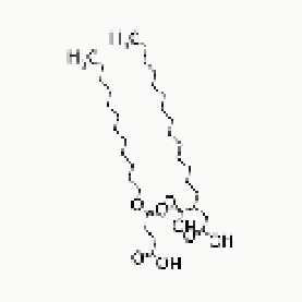 CCCCCCCCCCCCCCC(CC(=O)O)C(=O)O.CCCCCCCCCCCCOC(=O)CCC(=O)O